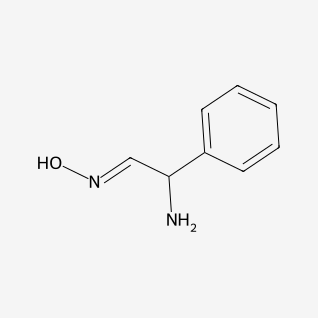 NC(/C=N/O)c1ccccc1